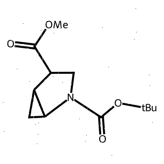 COC(=O)C1CN(C(=O)OC(C)(C)C)C2CC12